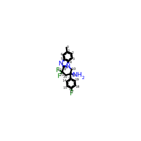 Cc1ccc2c(c1)nc1n2CC(N)(c2ccc(F)cc2)CC1(F)F